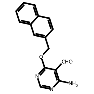 Nc1ncnc(OCc2ccc3ccccc3c2)c1C=O